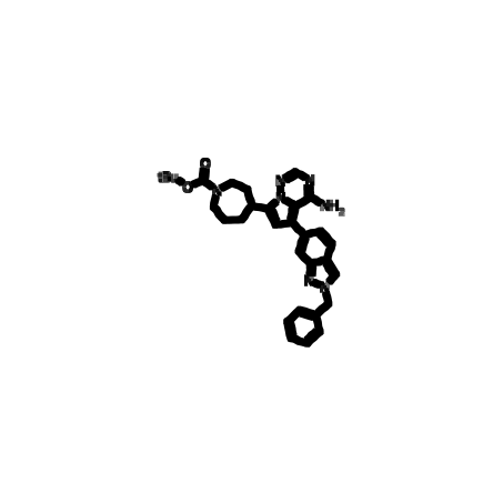 CC(C)(C)OC(=O)N1CCCC(c2cc(-c3ccc4cn(Cc5ccccc5)nc4c3)c3c(N)ncnn23)CC1